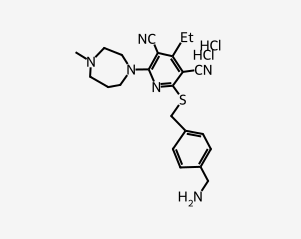 CCc1c(C#N)c(SCc2ccc(CN)cc2)nc(N2CCCN(C)CC2)c1C#N.Cl.Cl